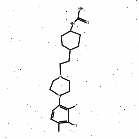 Cc1ccc(N2CCN(CCC3CCC(NC(N)=O)CC3)CC2)c(Cl)c1Cl